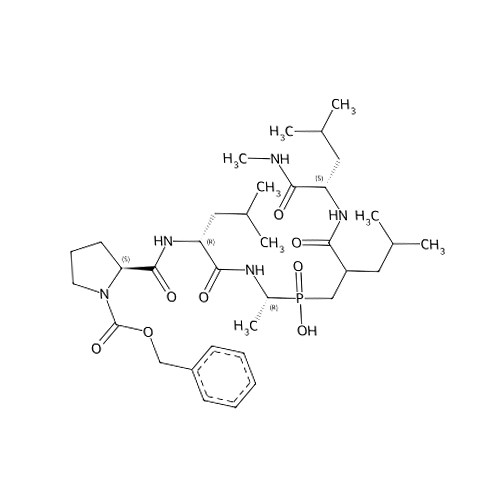 CNC(=O)[C@H](CC(C)C)NC(=O)C(CC(C)C)CP(=O)(O)[C@H](C)NC(=O)[C@@H](CC(C)C)NC(=O)[C@@H]1CCCN1C(=O)OCc1ccccc1